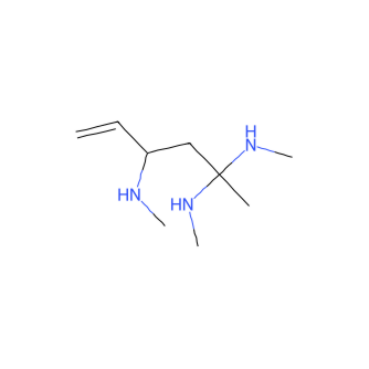 C=CC(CC(C)(NC)NC)NC